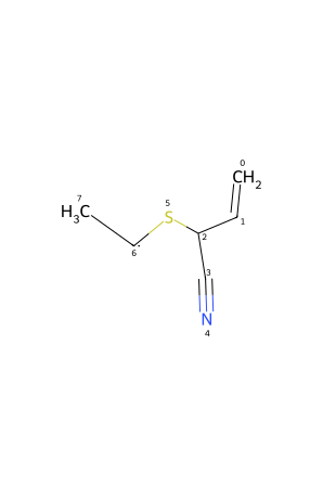 C=CC(C#N)S[CH]C